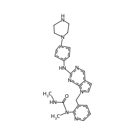 CNC(=O)N(C)c1ncccc1Cn1ccc2cnc(Nc3ccc(N4CCNCC4)cc3)nc21